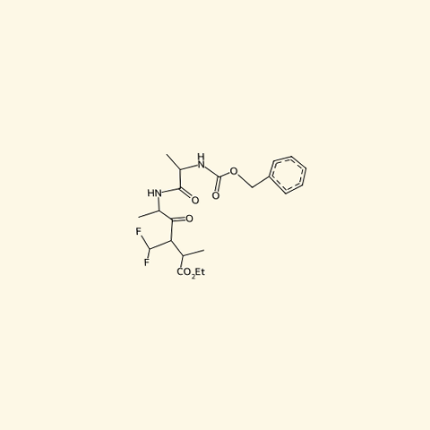 CCOC(=O)C(C)C(C(=O)C(C)NC(=O)C(C)NC(=O)OCc1ccccc1)C(F)F